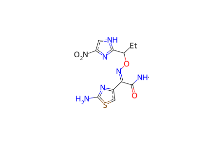 CCC(ON=C(C([NH])=O)c1csc(N)n1)c1nc([N+](=O)[O-])c[nH]1